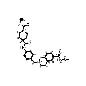 CC(C)(C)OC(=O)N1CCC(C)(C(=O)Nc2ccc(CN3CCc4cc(C(=O)NO)ccc4C3)cc2)CC1